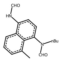 CCCCN(C=O)c1ccc(NC=O)c2cccc(C)c12